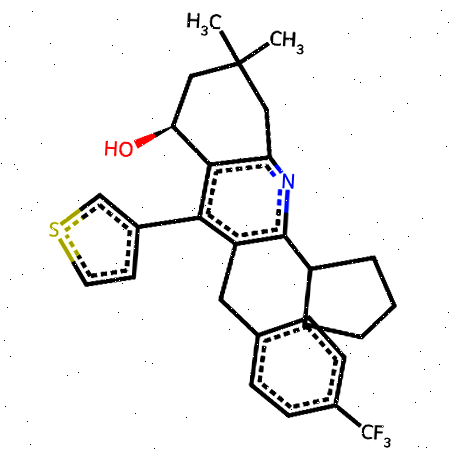 CC1(C)Cc2nc(C3CCCC3)c(Cc3ccc(C(F)(F)F)cc3)c(-c3ccsc3)c2[C@@H](O)C1